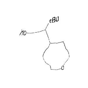 CC(C)(C)C(O)C1CCOCC1